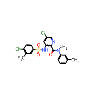 Cc1cccc(N(C)C(=O)c2ncc(Cl)cc2NS(=O)(=O)c2ccc(Cl)c(C(F)(F)F)c2)c1